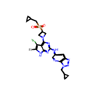 CCc1[nH]c2nc(Nc3cnc4c(c3)nnn4CC3CC3)nc(N3CC(S(=O)(=O)CC4CC4)C3)c2c1Br